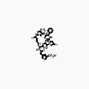 CNC(=O)/C=C/CC[C@H](NC(=O)Cc1cncc(C(=O)O)c1)C(=O)N[C@H](C(=O)N1CC(=O)C[C@H]1C(=O)N[C@H](C(=O)N[C@@H](C)C(N)=O)C1CCCCC1)C(C)(C)C